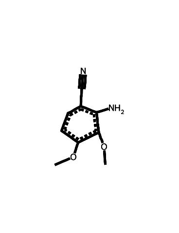 COc1ccc(C#N)c(N)c1OC